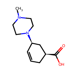 CN1CCN([C@@H]2C=CC[C@H](C(=O)O)C2)CC1